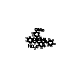 COc1ccc(S(=O)(=O)N(Cc2ccccc2)c2c(C(=O)O)cnc3c2c(C)nn3-c2ccccc2)cc1